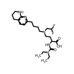 CCN(CC)C(=O)NC(CCN(CCCCc1ccc2c(n1)NCCC2)CC(F)F)C(=O)O